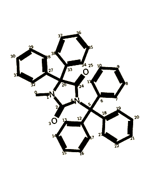 CN1C(=O)N(C(c2ccccc2)(c2ccccc2)c2ccccc2)C(=O)C1(c1ccccc1)c1ccccc1